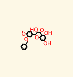 COc1ccc(C2Oc3cc(O)cc(O)c3C(=O)C2O)cc1OCc1ccccc1